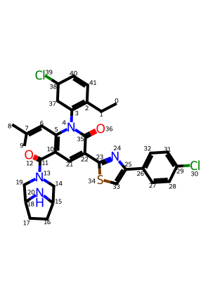 CCC1=C(n2c(C=C(C)C)c(C(=O)N3CC4CCC(C3)N4)cc(-c3nc(-c4ccc(Cl)cc4)cs3)c2=O)CC(Cl)C=C1